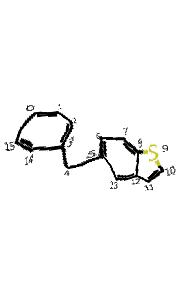 c1ccc(Cc2ccc3sccc3c2)cc1